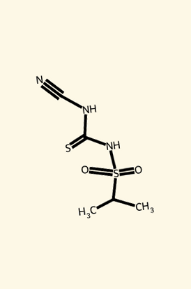 CC(C)S(=O)(=O)NC(=S)NC#N